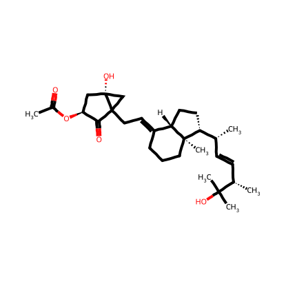 CC(=O)O[C@H]1C[C@@]2(O)CC2(C/C=C2\CCC[C@]3(C)[C@@H]([C@H](C)/C=C/[C@H](C)C(C)(C)O)CC[C@@H]23)C1=O